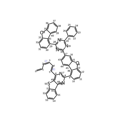 C=C/C=C\C=C\c1nc(-c2cccc3oc4cc(-c5nc(-c6ccccc6)nc(-c6cccc7oc8ccccc8c67)n5)ccc4c23)nc2c1sc1ccccc12